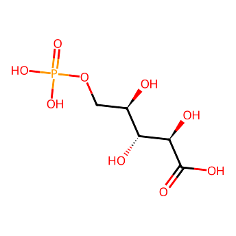 O=C(O)[C@H](O)[C@H](O)[C@H](O)COP(=O)(O)O